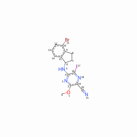 COc1nc(NC2CCc3c(Br)cccc32)c(I)nc1C#N